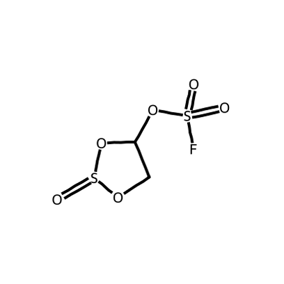 O=S1OCC(OS(=O)(=O)F)O1